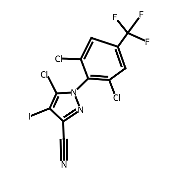 N#Cc1nn(-c2c(Cl)cc(C(F)(F)F)cc2Cl)c(Cl)c1I